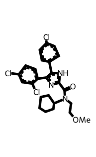 COCCN(C(=O)c1nc(-c2ccc(Cl)cc2Cl)c(-c2ccc(Cl)cc2)[nH]1)C1CCCCC1